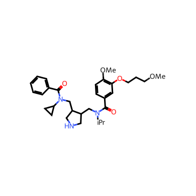 COCCCOc1cc(C(=O)N(CC2CNCC2CN(C(=O)c2ccccc2)C2CC2)C(C)C)ccc1OC